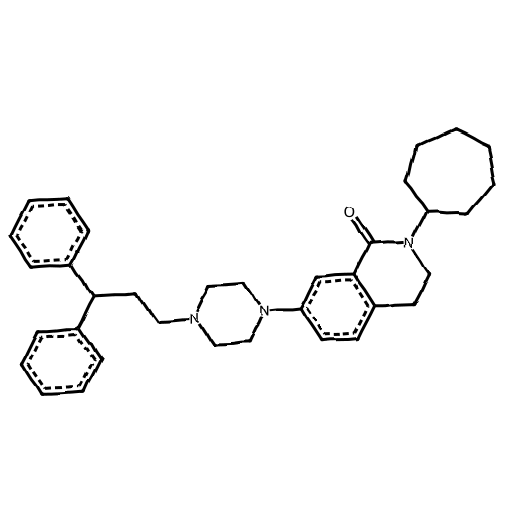 O=C1c2cc(N3CCN(CCC(c4ccccc4)c4ccccc4)CC3)ccc2CCN1C1CCCCCC1